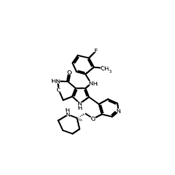 Cc1c(F)cccc1Nc1c(-c2ccncc2OC[C@@H]2CCCCN2)[nH]c2c1C(=O)NCC2